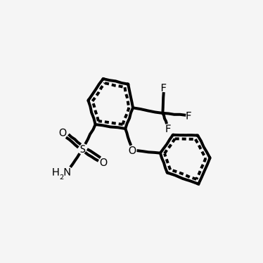 NS(=O)(=O)c1cccc(C(F)(F)F)c1Oc1ccccc1